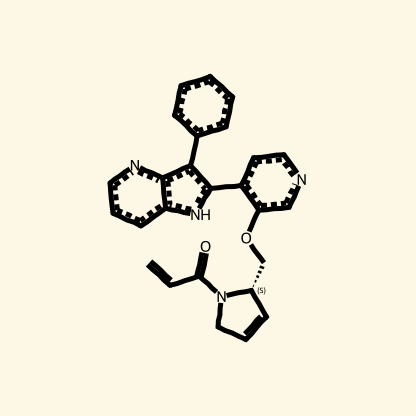 C=CC(=O)N1CC=C[C@H]1COc1cnccc1-c1[nH]c2cccnc2c1-c1ccccc1